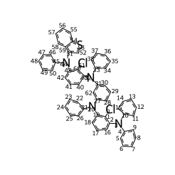 Clc1c(N(c2ccccc2)c2ccccc2)cccc1N(c1ccccc1)c1cccc(N(c2ccccc2)c2cccc(N(c3ccccc3)c3csc4ccccc34)c2Cl)c1